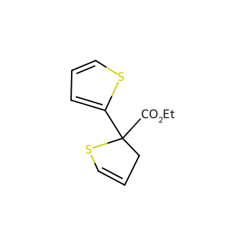 CCOC(=O)C1(c2cccs2)CC=CS1